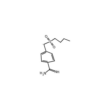 CCCCS(=O)(=O)[CH]c1ccc(C(=N)N)cc1